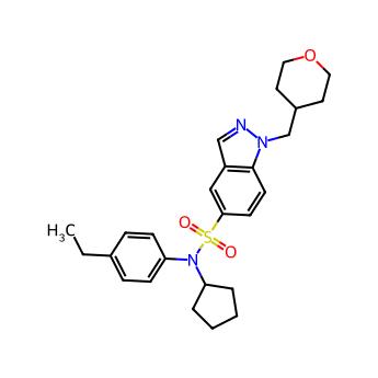 CCc1ccc(N(C2CCCC2)S(=O)(=O)c2ccc3c(cnn3CC3CCOCC3)c2)cc1